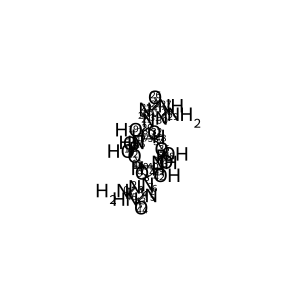 Nc1nc2c(ncn2[C@@H]2O[C@@H]3COP(=O)(O)N[C@H]4[C@@H](O)[C@H](n5cnc6c(=O)[nH]c(N)nc65)O[C@@H]4COP(=O)(O)N[C@H]3[C@H]2O)c(=O)[nH]1